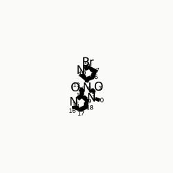 Cn1c(=O)n(-c2ccc(Br)nc2)c(=O)c2ncccc21